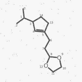 CC(C)C1C=C(CCC2OCCO2)CC1